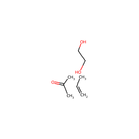 C=CC.CC(C)=O.OCCO